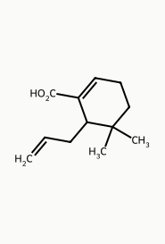 C=CCC1C(C(=O)O)=CCCC1(C)C